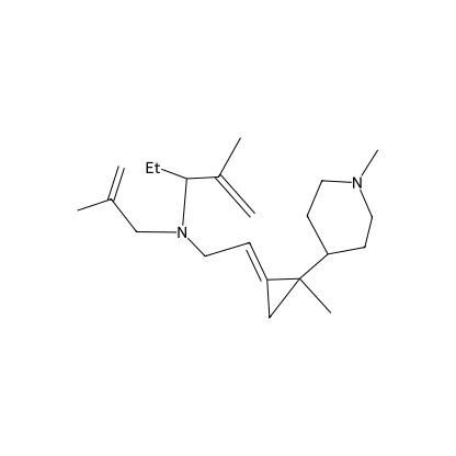 C=C(C)CN(C/C=C1\CC1(C)C1CCN(C)CC1)C(CC)C(=C)C